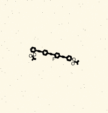 C=C(C)C(=O)Oc1ccc(C#Cc2ccc(C#Cc3ccc(C#Cc4ccccc4OC(=O)C(=C)C)cc3)c(F)c2)cc1